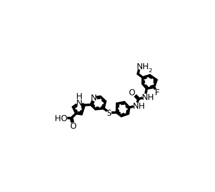 NCc1ccc(F)c(NC(=O)Nc2ccc(Sc3ccnc(-c4cc(C(=O)O)c[nH]4)c3)cc2)c1